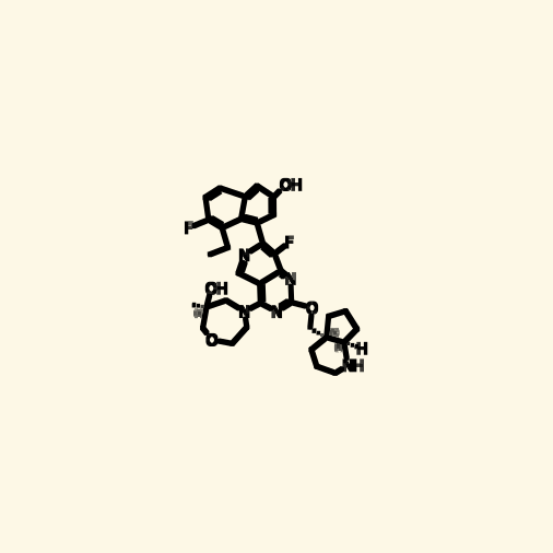 CCc1c(F)ccc2cc(O)cc(-c3ncc4c(N5CCOC[C@@](C)(O)C5)nc(OC[C@@]56CCCN[C@@H]5CCC6)nc4c3F)c12